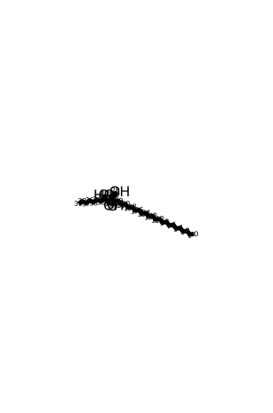 CCCCCCCCCCCCCCCCCCCCCCCC(=O)C(O)(CO)C(O)C(=O)CCCCCCC